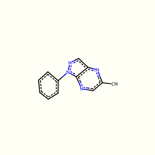 N#Cc1cnc2c(cnn2-c2ccccc2)n1